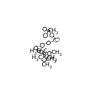 C=P(c1ccccc1)(c1ccccc1)c1ccc(C23CC4CC(CC(c5ccc(-c6ccc(-c7ccccc7)c(-c7cc(B(c8c(C)cc(C)cc8C)c8c(C)cc(C)cc8C)ccc7C)c6)cc5)(C4)C2)C3)cc1